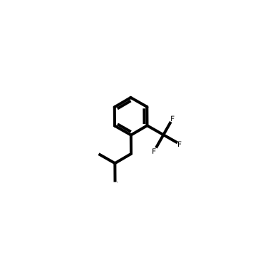 [CH2]C(C)Cc1ccccc1C(F)(F)F